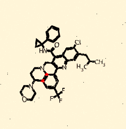 CC(C)Cc1cc2nc(-c3cccc(C(F)(F)F)c3)c(CN3CCC(N4CCOCC4)CC3)c(C(=O)NC3(c4ccccc4)CC3)c2cc1Cl